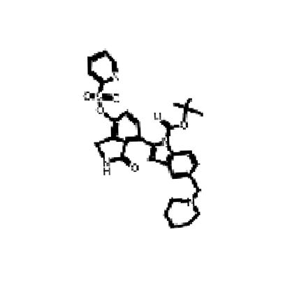 CC(C)(C)OC(=O)n1c(-c2ccc(OS(=O)(=O)c3ccccn3)c3c2C(=O)NC3)cc2cc(CN3CCCCC3)ccc21